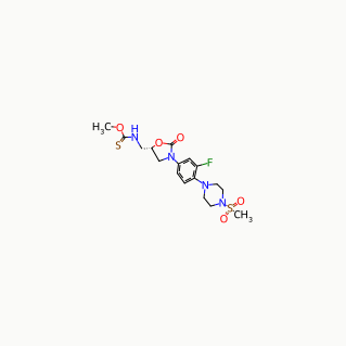 COC(=S)NC[C@H]1CN(c2ccc(N3CCN(S(C)(=O)=O)CC3)c(F)c2)C(=O)O1